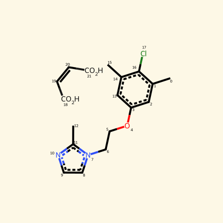 Cc1cc(OCCn2ccnc2C)cc(C)c1Cl.O=C(O)/C=C\C(=O)O